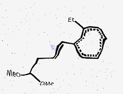 CCc1ccccc1/C=C/CC(OC)OC